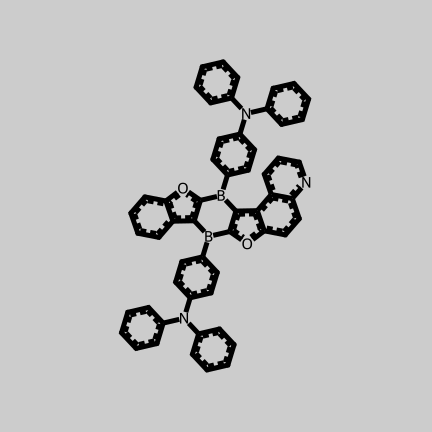 c1ccc(N(c2ccccc2)c2ccc(B3c4oc5ccc6ncccc6c5c4B(c4ccc(N(c5ccccc5)c5ccccc5)cc4)c4oc5ccccc5c43)cc2)cc1